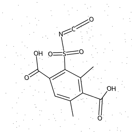 Cc1cc(C(=O)O)c(S(=O)(=O)N=C=O)c(C)c1C(=O)O